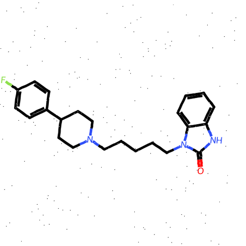 O=c1[nH]c2ccccc2n1CCCCCN1CCC(c2ccc(F)cc2)CC1